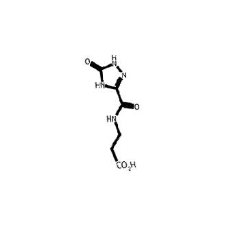 O=C(O)CCNC(=O)c1n[nH]c(=O)[nH]1